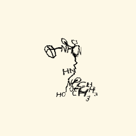 CC(C)(C)OC(=O)N(CCO)CCNCCCc1cc(C(=O)NCC23CC4CC(CC(C4)C2)C3)c(Cl)cn1